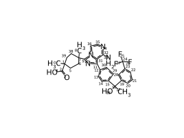 CC1(C(=O)O)CCC(C)(c2nc(-c3ccc(C(C)(O)c4cccc(C(F)(F)F)c4)cc3)c3c(N)nccn23)CC1